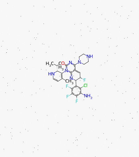 CC1=C(n2c(=O)nc(N3CCNCC3)c3c2=NC(c2c(F)c(F)c(F)c(N)c2Cl)C(F)C=3)[C@@H](C(C)C)NC=C1